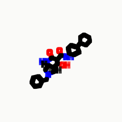 O=C(Nc1ccc(C2CCCCC2)cc1)C1=C(O)[C@H]2CN(Cc3ccccc3)C[C@@H]2NC1=O